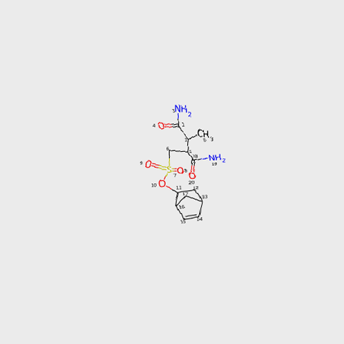 CC(C(N)=O)C(CS(=O)(=O)OC1CC2C=CC1C2)C(N)=O